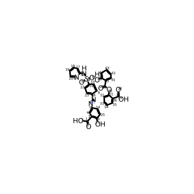 O=C(O)c1cc(/N=N/c2ccc(S(=O)(=O)Nc3ccccn3)cc2)ccc1O.O=C(Oc1ccccc1C(=O)O)c1ccccc1O